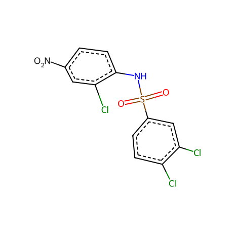 O=[N+]([O-])c1ccc(NS(=O)(=O)c2ccc(Cl)c(Cl)c2)c(Cl)c1